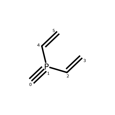 C#P(C=C)C=C